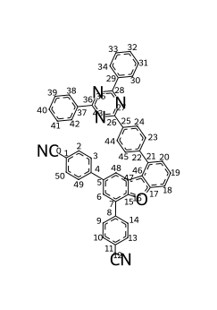 N#Cc1ccc(-c2cc(-c3ccc(C#N)cc3)c3oc4cccc(-c5ccc(-c6nc(-c7ccccc7)nc(-c7ccccc7)n6)cc5)c4c3c2)cc1